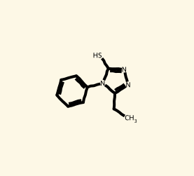 CCc1nnc(S)n1-c1ccccc1